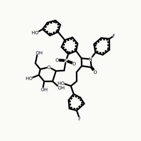 O=C1C(CCC(O)c2ccc(F)cc2)C(c2ccc(-c3cccc(O)c3)cc2S(=O)(=O)CC2OC(CO)C(O)C(O)C2O)N1c1ccc(F)cc1